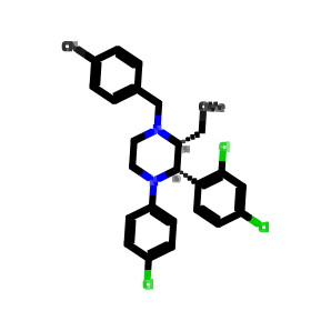 [C-]#[N+]c1ccc(CN2CCN(c3ccc(Cl)cc3)[C@@H](c3ccc(Cl)cc3Cl)[C@H]2COC)cc1